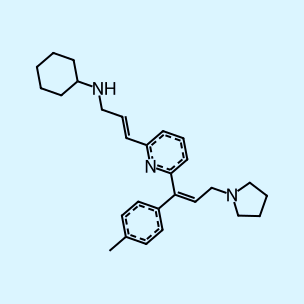 Cc1ccc(C(=CCN2CCCC2)c2cccc(C=CCNC3CCCCC3)n2)cc1